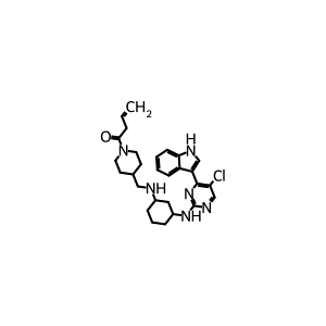 C=CCC(=O)N1CCC(CNC2CCCC(Nc3ncc(Cl)c(-c4c[nH]c5ccccc45)n3)C2)CC1